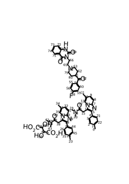 Cc1ccc(-c2nc3ccc(C)cn3c2CC(=O)N(C)C)cc1.Cc1ccc(-c2nc3ccc(C)cn3c2CC(=O)N(C)C)cc1.O=C(O)C(O)C(O)C(=O)O.O=C(c1ccc(F)cc1)C1CCN(CCn2c(=O)[nH]c3ccccc3c2=O)CC1